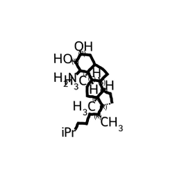 CC(C)CCC[C@@H](C)[C@H]1CC[C@H]2[C@@H]3CCC4C[C@@H](O)[C@@H](O)C(N)[C@]4(C)[C@H]3CC[C@]12C